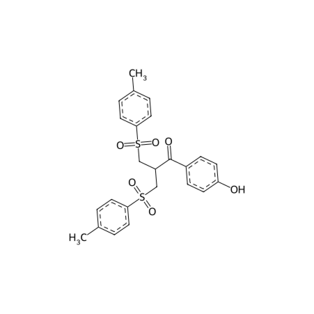 Cc1ccc(S(=O)(=O)CC(CS(=O)(=O)c2ccc(C)cc2)C(=O)c2ccc(O)cc2)cc1